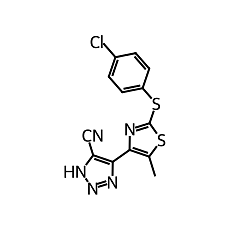 Cc1sc(Sc2ccc(Cl)cc2)nc1-c1nn[nH]c1C#N